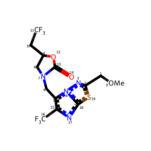 COCc1nn2c(CN3CC(CC(F)(F)F)OC3=O)c(C(F)(F)F)nc2s1